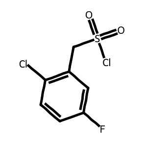 O=S(=O)(Cl)Cc1cc(F)ccc1Cl